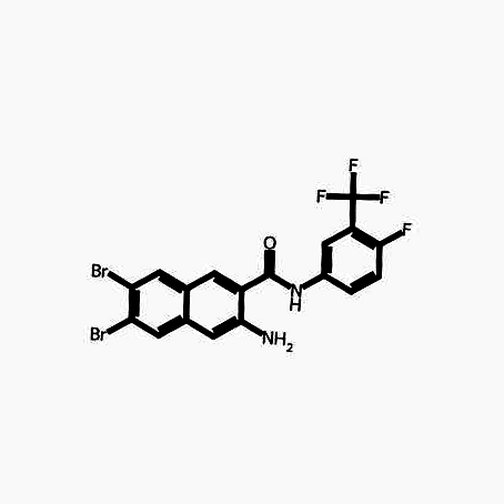 Nc1cc2cc(Br)c(Br)cc2cc1C(=O)Nc1ccc(F)c(C(F)(F)F)c1